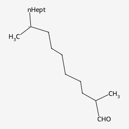 CCCCCCC[C](C)CCCCCCC(C)C=O